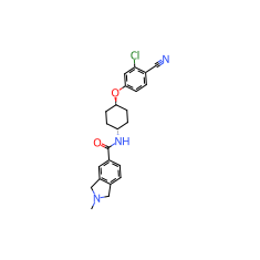 CN1Cc2ccc(C(=O)N[C@H]3CC[C@H](Oc4ccc(C#N)c(Cl)c4)CC3)cc2C1